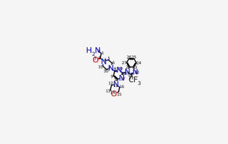 NCC(=O)N1CCN(c2cc(N3CCOCC3)nc(-n3c(C(F)(F)F)nc4ccccc43)n2)CC1